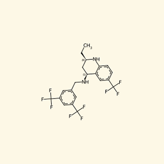 CC[C@@H]1C[C@H](NCc2cc(C(F)(F)F)cc(C(F)(F)F)c2)c2cc(C(F)(F)F)ccc2N1